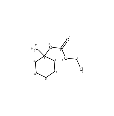 CC1(OC(=O)OCCl)CCCCC1